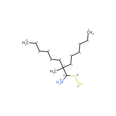 CCCCCCC(C)(CCCCCC)C(N)SS